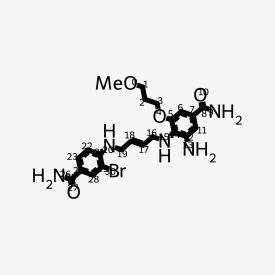 COCCCOc1cc(C(N)=O)cc(N)c1NCC=CCNc1ccc(C(N)=O)cc1Br